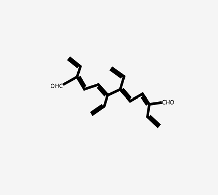 C=C\C(C=O)=C/C=C(C=C)/C(C=C)=C/C=C(\C=C)C=O